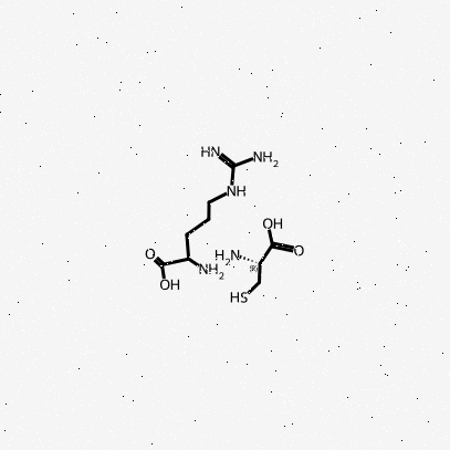 N=C(N)NCCCC(N)C(=O)O.N[C@@H](CS)C(=O)O